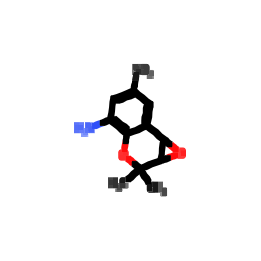 CC1(C)Oc2c(N)cc([N+](=O)[O-])cc2C2OC21